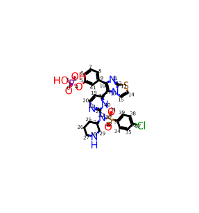 O=P(O)(O)Oc1cccc(-c2nc3sccn3c2-c2ccnc(N(C3CCCNC3)S(=O)(=O)c3ccc(Cl)cc3)n2)c1